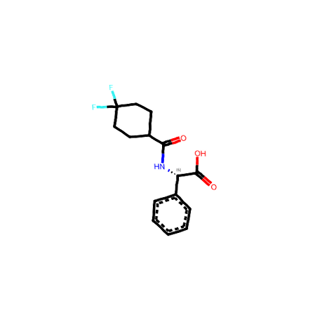 O=C(N[C@H](C(=O)O)c1ccccc1)C1CCC(F)(F)CC1